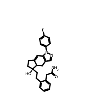 NC(=O)Cc1ccccc1CC[C@]1(O)CCC2=Cc3c(cnn3-c3ccc(F)cc3)CC21